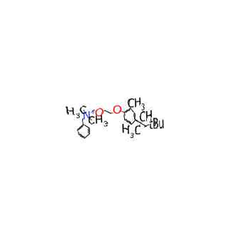 Cc1cc(C(C)(C)CC(C)(C)C)ccc1OCCOC[N+](C)(C)Cc1ccccc1